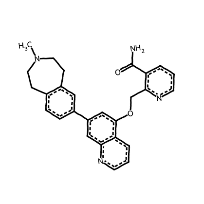 CN1CCc2ccc(-c3cc(OCc4ncccc4C(N)=O)c4cccnc4c3)cc2CC1